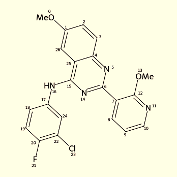 COc1ccc2nc(-c3cccnc3OC)nc(Nc3ccc(F)c(Cl)c3)c2c1